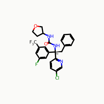 O=C(NC1CCOC1)N[C@@](Cc1ccccc1)(c1cc(F)cc(C(F)(F)F)c1)c1ccc(Cl)cn1